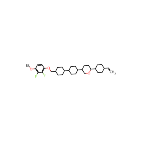 C=CC1CCC(C2CCC(C3CCC(C4CCC(COc5ccc(OCC)c(F)c5F)CC4)CC3)CO2)CC1